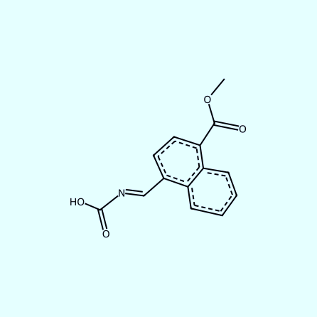 COC(=O)c1ccc(C=NC(=O)O)c2ccccc12